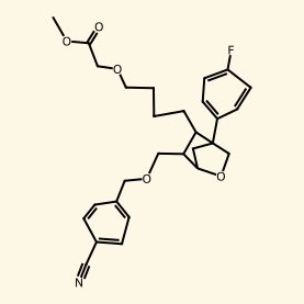 COC(=O)COCCCCC1C(COCc2ccc(C#N)cc2)C2CC1(c1ccc(F)cc1)CO2